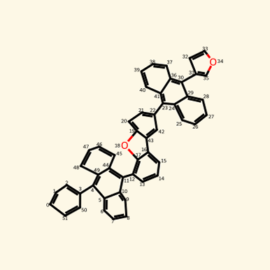 c1ccc(-c2c3ccccc3c(-c3cccc4c3oc3ccc(-c5c6ccccc6c(-c6ccoc6)c6ccccc56)cc34)c3ccccc23)cc1